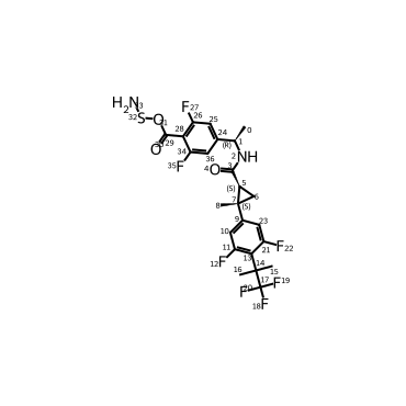 C[C@@H](NC(=O)[C@H]1C[C@]1(C)c1cc(F)c(C(C)(C)C(F)(F)F)c(F)c1)c1cc(F)c(C(=O)OSN)c(F)c1